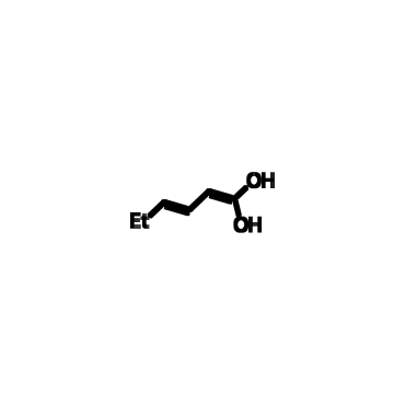 CC/C=C/C=C(O)O